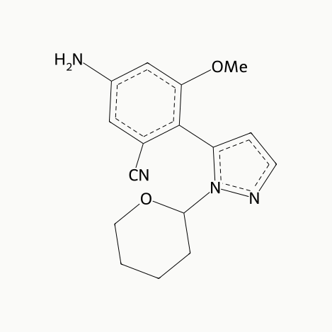 COc1cc(N)cc(C#N)c1-c1ccnn1C1CCCCO1